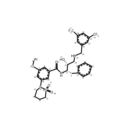 CC(C)Oc1cc(C(=O)N[C@@H](Cc2ccccc2)[C@H](O)CNCc2cc(C(F)(F)F)cc(C(F)(F)F)c2)cc(N2CCCCS2(=O)=O)c1